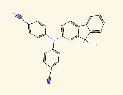 CC1(C)c2ccccc2-c2ccc(N(c3ccc(C#N)cc3)c3ccc(C#N)cc3)cc21